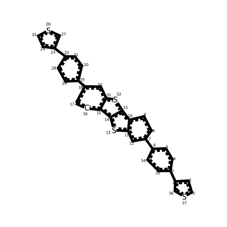 c1cc(-c2ccc(-c3ccc4c(c3)sc3c5ccc(-c6ccc(-c7ccsc7)cc6)cc5sc43)cc2)cs1